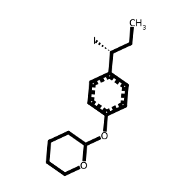 CC[C@@H](I)c1ccc(OC2CCCCO2)cc1